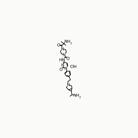 CC(N)C1C2CN(CCc3ccc(-n4ccc(NC(=O)N5CCN(C(=O)C(C)(C)N)CC5)nc4=O)cc3)CC21.Cl